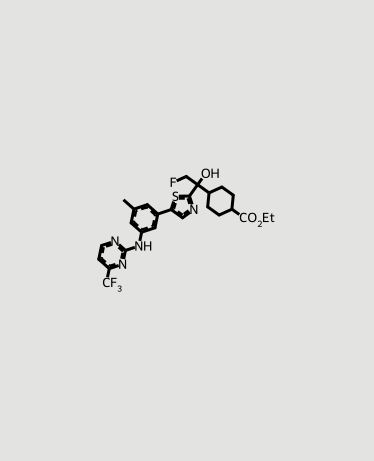 CCOC(=O)C1CCC(C(O)(CF)c2ncc(-c3cc(C)cc(Nc4nccc(C(F)(F)F)n4)c3)s2)CC1